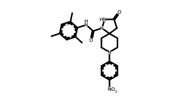 Cc1cc(C)c(NC(=O)N2NC(=O)CC23CCN(c2ccc([N+](=O)[O-])cc2)CC3)c(C)c1